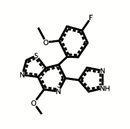 COc1cc(F)ccc1-c1c(-c2cn[nH]c2)nc(OC)c2ncsc12